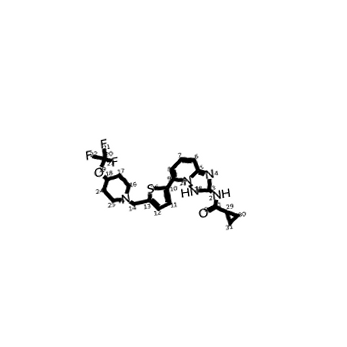 O=C(NC1N=C2C=CC=C(c3ccc(CN4CCC(OC(F)(F)F)CC4)s3)N2N1)C1CC1